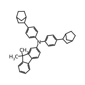 CC1(C)c2ccccc2-c2ccc(N(c3ccc(C4CC5CCC4C5)cc3)c3ccc(C4CC5CCC4C5)cc3)cc21